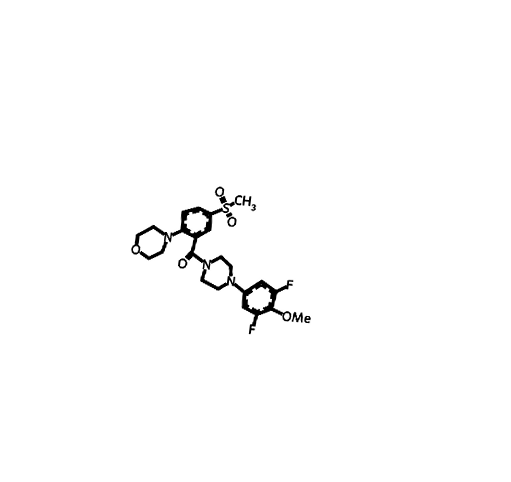 COc1c(F)cc(N2CCN(C(=O)c3cc(S(C)(=O)=O)ccc3N3CCOCC3)CC2)cc1F